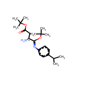 CC(C)c1ccc(N=C(OC(C)(C)C)[C@@H](N)CC(=O)OC(C)(C)C)cc1